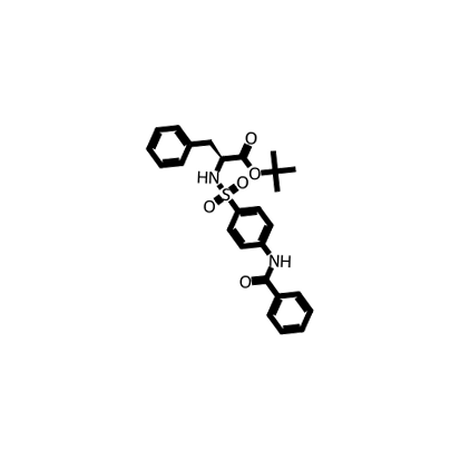 CC(C)(C)OC(=O)[C@H](Cc1ccccc1)NS(=O)(=O)c1ccc(NC(=O)c2ccccc2)cc1